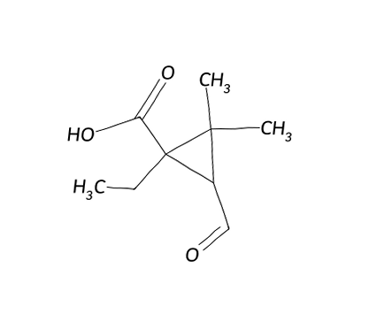 CCC1(C(=O)O)C(C=O)C1(C)C